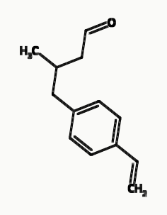 C=Cc1ccc(CC(C)CC=O)cc1